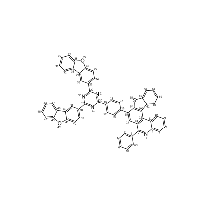 c1ccc(-c2nc3ccccc3c3c2cc(-c2ccc(-c4nc(-c5ccc6oc7ccccc7c6c5)nc(-c5ccc6oc7ccccc7c6c5)n4)cc2)c2sc4ccccc4c23)cc1